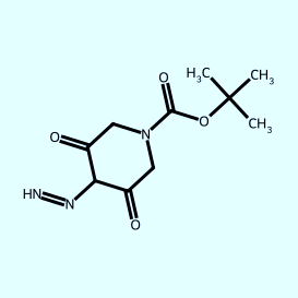 CC(C)(C)OC(=O)N1CC(=O)C(N=N)C(=O)C1